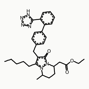 CCCCCc1c(Cc2ccc(-c3ccccc3-c3nnn[nH]3)cc2)c(=O)n2n1C(C)CCC2CC(=O)OCC